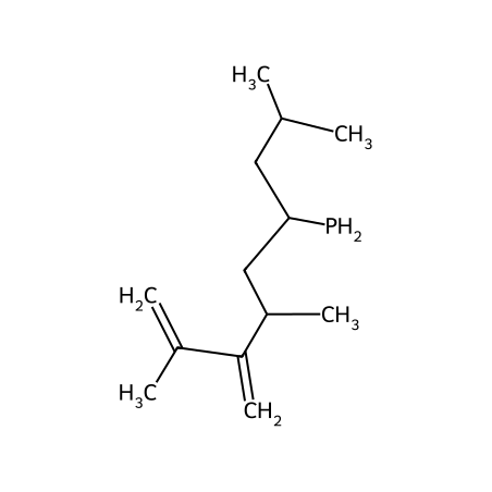 C=C(C)C(=C)C(C)CC(P)CC(C)C